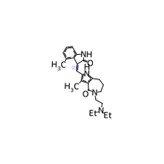 CCN(CC)CCN1CCCc2[nH]c(/C=C3\C(=O)Nc4cccc(C)c43)c(C)c2C1=O